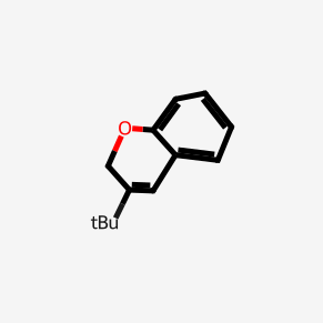 CC(C)(C)C1=Cc2ccccc2OC1